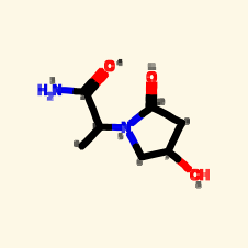 CC(C(N)=O)N1CC(O)CC1=O